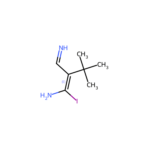 CC(C)(C)/C(C=N)=C(/N)I